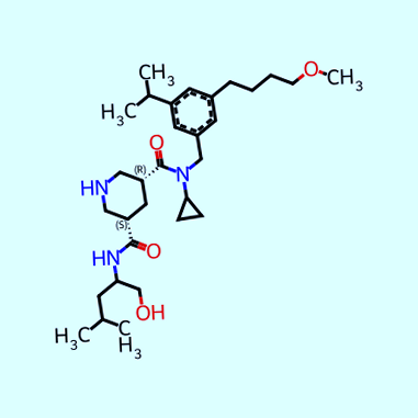 COCCCCc1cc(CN(C(=O)[C@H]2CNC[C@@H](C(=O)NC(CO)CC(C)C)C2)C2CC2)cc(C(C)C)c1